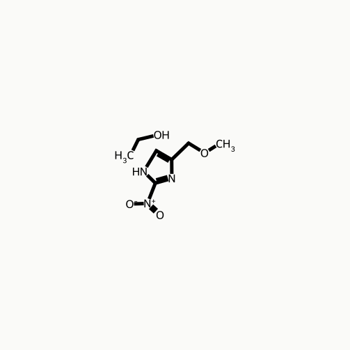 CCO.COCc1c[nH]c([N+](=O)[O-])n1